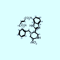 O=C(O)/C=C/C(=O)O.O=[N+]([O-])C1CN(Cc2ccccc2)C(c2nc3ccccc3[nH]2)CN1